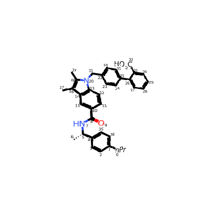 CCCc1ccc([C@H](C)NC(=O)c2ccc3c(c2)c(C)c(C)n3Cc2ccc(-c3ccccc3C(=O)O)cc2)cc1